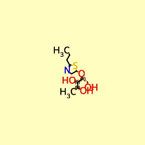 CCCC1=NCC(O[C@H](CO)[C@@H](O)[C@@H](C)O)S1